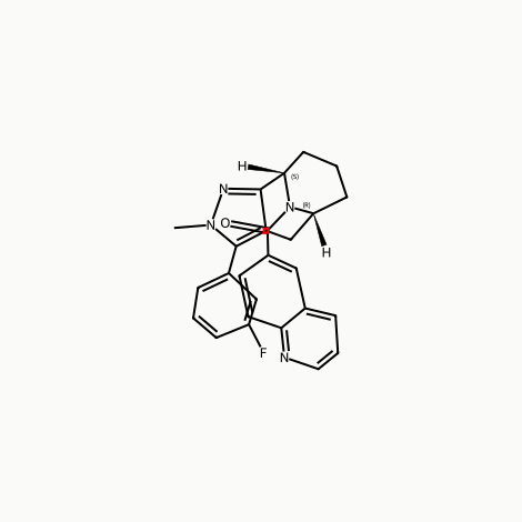 Cn1nc2c(c1-c1cccc(F)c1)C[C@H]1CCC[C@@H]2N1C(=O)c1ccc2ncccc2c1